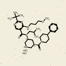 COCCCNc1nc(C(C)(C)C)ncc1C(=O)N(CC(C)C)[C@@H]1CNC[C@H](C(=O)N2CCC(c3ccccc3)CC2)C1.Cl.Cl